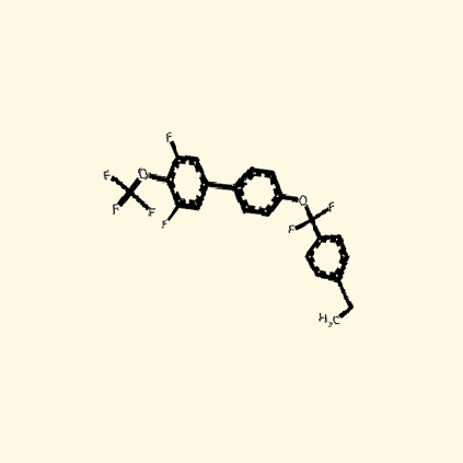 CCc1ccc(C(F)(F)Oc2ccc(-c3cc(F)c(OC(F)(F)F)c(F)c3)cc2)cc1